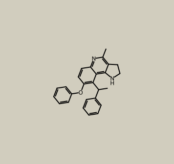 Cc1nc2ccc(Oc3ccccc3)c(C(C)c3ccccc3)c2c2c1CCN2